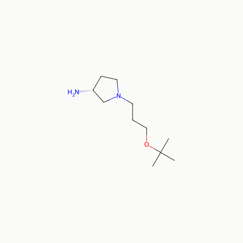 CC(C)(C)OCCCN1CC[C@@H](N)C1